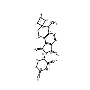 CN1c2ccc3c(c2OCC12CNC2)C(=O)N(C1CCC(=O)NC1=O)C3=O